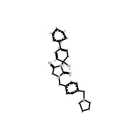 O=C1CN(Cc2ccc(CN3CCCC3)cc2)C(=O)N1C1(Cl)C=CC(c2ccccc2)=CC1